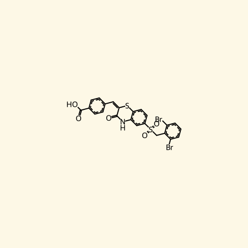 O=C1Nc2cc(S(=O)(=O)Cc3c(Br)cccc3Br)ccc2S/C1=C/c1ccc(C(=O)O)cc1